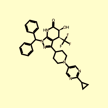 O=C1Nc2c(c(C3CCN(c4cnc(C5CC5)nc4)CC3)nn2C(c2ccccc2)c2ccccc2)[C@H](C(F)(F)F)[C@@H]1O